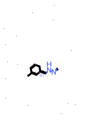 C=NN/C=C1/C=C(C)C=CC1